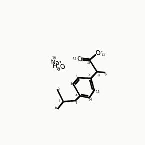 CC(C)Cc1ccc(C(C)C(=O)[O-])cc1.O.[Na+]